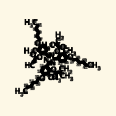 C#CC(=O)Oc1c(-c2nc(-c3ccc(OCCCCCC)c(C)c3OC(=O)C(=C)C)nc(-c3ccc(OCCCCCC)c(C)c3OC(=O)C(=C)C)n2)ccc(OCCCCCC)c1C